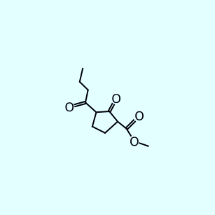 CCCC(=O)C1CCC(C(=O)OC)C1=O